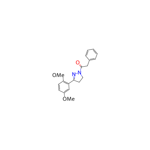 COc1ccc(OC)c(C2=NN(C(=O)Cc3ccccc3)CC2)c1